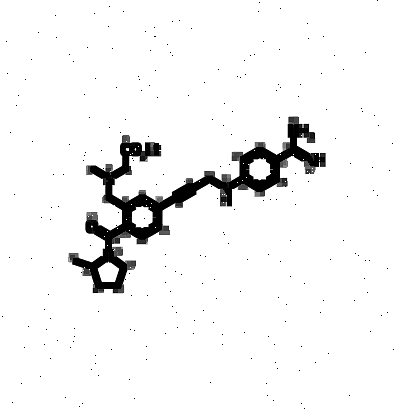 CCOC(=O)CN(C)Cc1cc(C#CCNc2ccc(C(=N)N)cc2)ccc1C(=O)N1CCCC1C